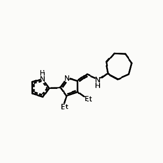 CCC1=C(CC)/C(=C\NC2CCCCCC2)N=C1c1ccc[nH]1